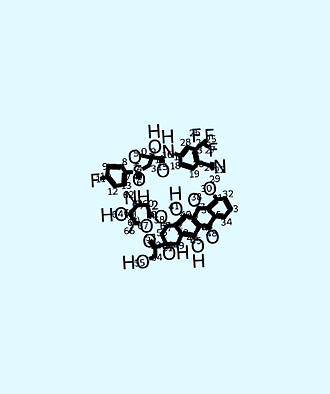 CC(O)(CS(=O)(=O)c1ccc(F)cc1)C(=O)Nc1ccc(C#N)c(C(F)(F)F)c1.COc1cccc2c1C(=O)c1c(O)c3c(c(O)c1C2=O)C[C@@](O)(C(=O)CO)C[C@@H]3O[C@H]1C[C@H](N)[C@H](O)[C@H](C)O1